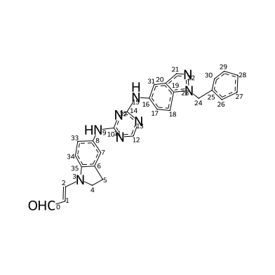 O=CC=CN1CCc2cc(Nc3ncnc(Nc4ccc5c(cnn5Cc5ccccc5)c4)n3)ccc21